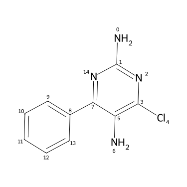 Nc1nc(Cl)c(N)c(-c2ccccc2)n1